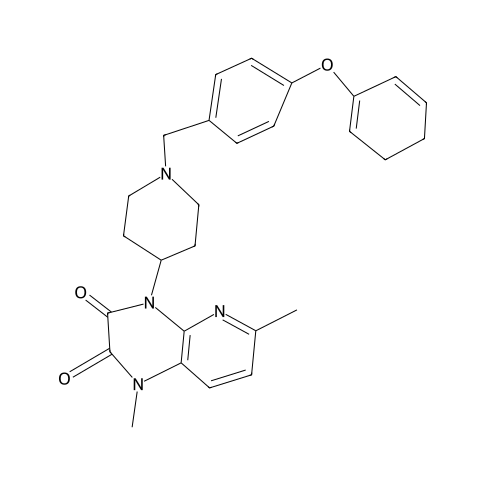 Cc1ccc2c(n1)n(C1CCN(Cc3ccc(OC4=CCCC=C4)cc3)CC1)c(=O)c(=O)n2C